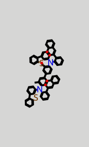 Cc1cc(-c2ccc(N(c3ccccc3-c3ccc4ccccc4c3)c3cccc4c3sc3ccccc34)c(C)c2)ccc1N(c1ccccc1-c1ccc2ccccc2c1)c1cccc2c1sc1ccccc12